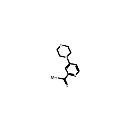 COC(=O)c1cc(N2CCOCC2)ccn1